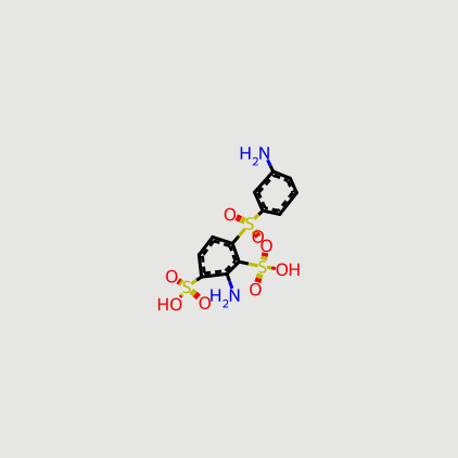 Nc1cccc(S(=O)(=O)c2ccc(S(=O)(=O)O)c(N)c2S(=O)(=O)O)c1